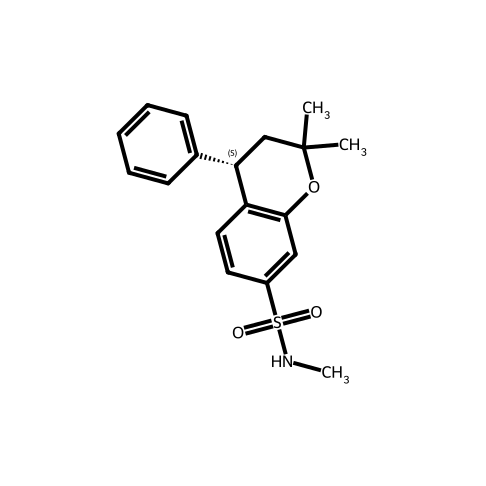 CNS(=O)(=O)c1ccc2c(c1)OC(C)(C)C[C@H]2c1ccccc1